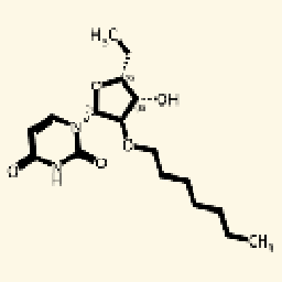 CCCCCCCOC1[C@@H](O)[C@@H](CC)O[C@H]1n1ccc(=O)[nH]c1=O